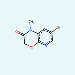 CN1C(=O)COc2ncc(Br)cc21